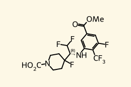 COC(=O)c1cc(F)c(C(F)(F)F)c(N[C@@H](C(F)F)C2(F)CCN(C(=O)O)CC2)c1